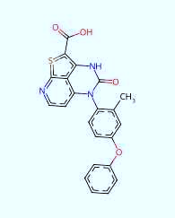 Cc1cc(Oc2ccccc2)ccc1N1C(=O)Nc2c(C(=O)O)sc3nccc1c23